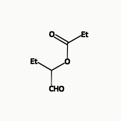 CCC(=O)OC(C=O)CC